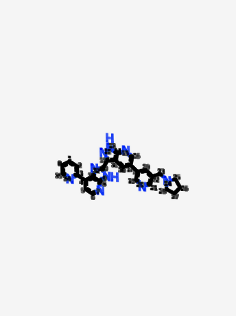 c1ccc(-c2ccnc3[nH]c(-c4n[nH]c5ncc(-c6cncc(CN7CCCC7)c6)cc45)nc23)nc1